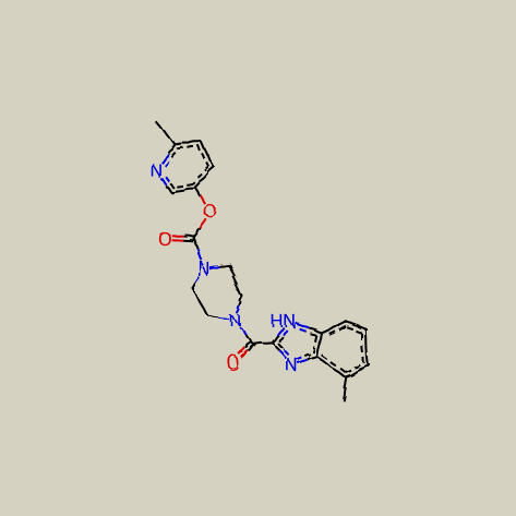 Cc1ccc(OC(=O)N2CCN(C(=O)c3nc4c(C)cccc4[nH]3)CC2)cn1